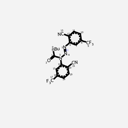 CCCCC(=O)N(/N=N/c1cc(C(F)(F)F)ccc1C#N)c1cc(C(F)(F)F)ccc1C#N